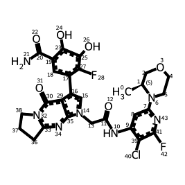 C[C@H]1COCCN1c1cc(NC(=O)Cn2cc(-c3cc(C(N)=O)c(O)c(O)c3F)c3c(=O)n4c(nc32)CCC4)c(Cl)c(F)n1